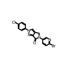 O=C1c2nn(-c3ccc(Cl)cc3)cc2CN1c1ccc(Br)nc1